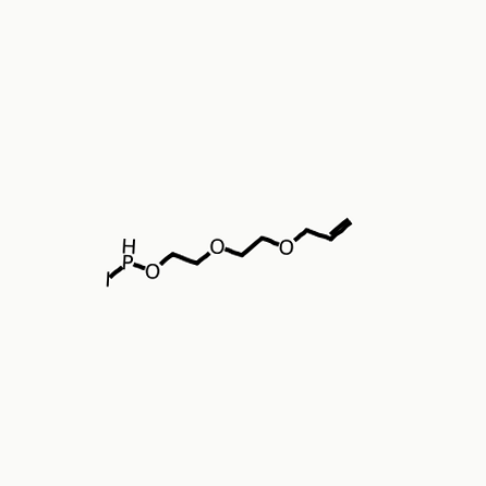 C=CCOCCOCCOPI